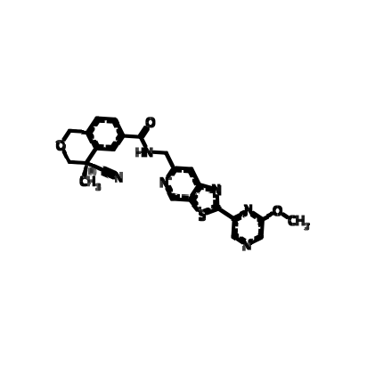 COc1cncc(-c2nc3cc(CNC(=O)c4ccc5c(c4)[C@](C)(C#N)COC5)ncc3s2)n1